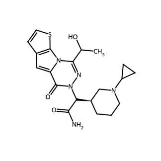 CC(O)c1nn(C(C(N)=O)[C@@H]2CCCN(C3CC3)C2)c(=O)c2cc3ccsc3n12